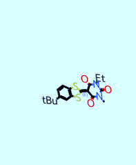 CCN1C(=O)/C(=C2\Sc3ccc(C(C)(C)C)cc3S2)C(=O)N(C)C1=O